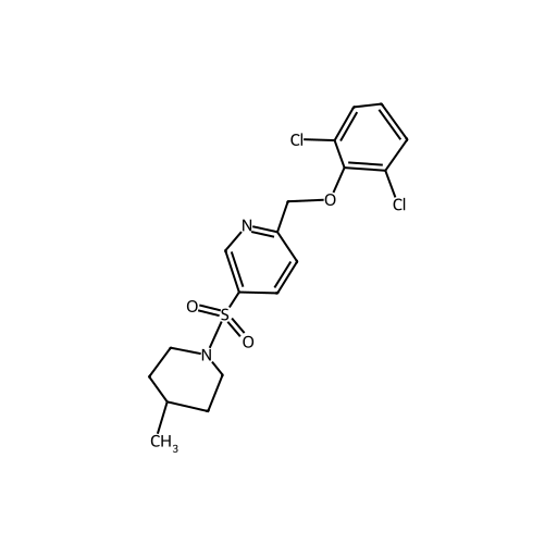 CC1CCN(S(=O)(=O)c2ccc(COc3c(Cl)cccc3Cl)nc2)CC1